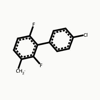 [CH2]c1ccc(F)c(-c2ccc(Cl)cc2)c1F